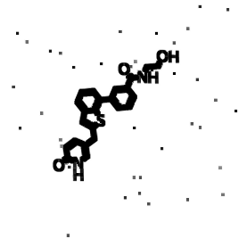 O=C(NCCO)c1cccc(-c2cccc3cc(Cc4ccc(=O)[nH]c4)sc23)c1